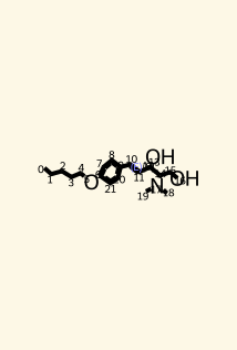 CCCCCOc1ccc(/C=C/[C@H](O)C(CO)N(C)C)cc1